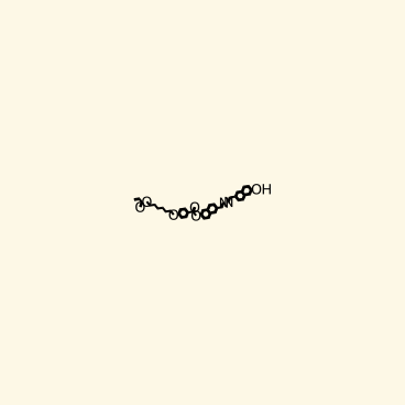 C=CC(=O)OCCCCCCOc1ccc(C(=O)Oc2ccc3cc(/C=N/N=C/c4ccc5cc(O)ccc5c4)ccc3c2)cc1